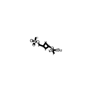 CC(C)(C)[Si](C)(C)OC1CC(COS(C)(=O)=O)C1